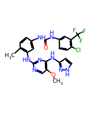 COc1cnc(Nc2cc(NC(=O)Nc3ccc(Cl)c(C(F)(F)F)c3)ccc2C)nc1Nc1cc[nH]n1